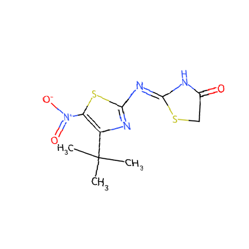 CC(C)(C)c1nc(N=C2NC(=O)CS2)sc1[N+](=O)[O-]